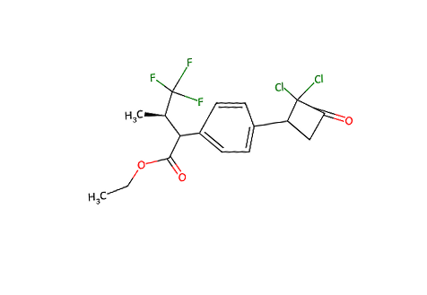 CCOC(=O)C(c1ccc(C2CC(=O)C2(Cl)Cl)cc1)[C@@H](C)C(F)(F)F